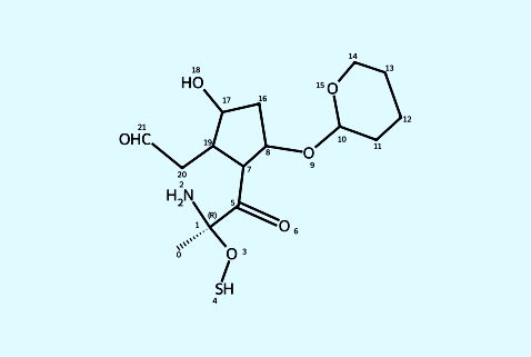 C[C@@](N)(OS)C(=O)C1C(OC2CCCCO2)CC(O)C1CC=O